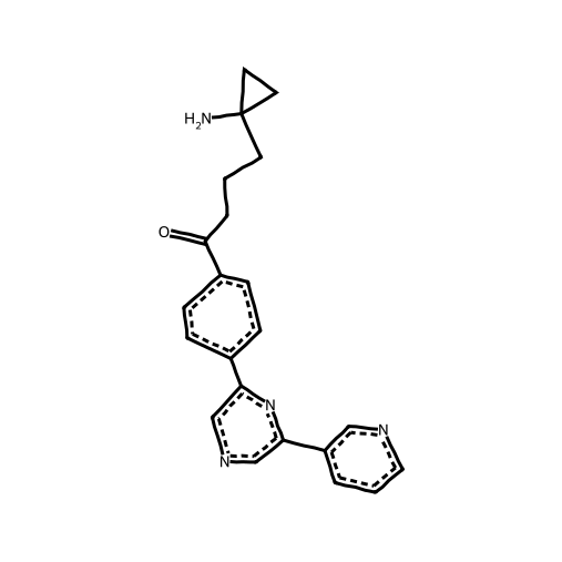 NC1(CCCC(=O)c2ccc(-c3cncc(-c4cccnc4)n3)cc2)CC1